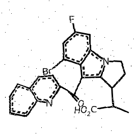 CC(C(=O)O)C1CCn2c1c(C(=O)c1ccc3ccccc3n1)c1c(Br)cc(F)cc12